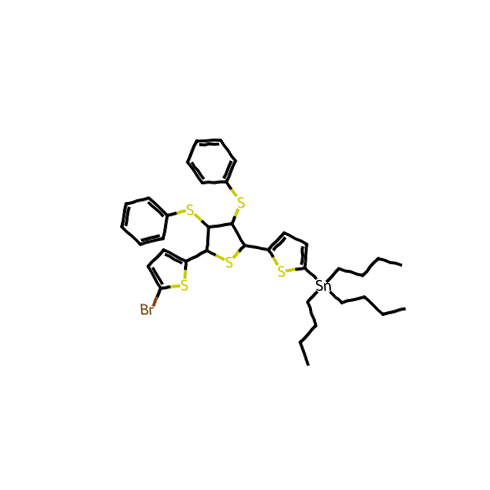 CCC[CH2][Sn]([CH2]CCC)([CH2]CCC)[c]1ccc(C2SC(c3ccc(Br)s3)C(Sc3ccccc3)C2Sc2ccccc2)s1